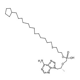 C[C@H](Cn1cnc2c(N)ncnc21)OCP(=O)(O)OCCCSCCCCCCCCCCCCCC1CCCC1